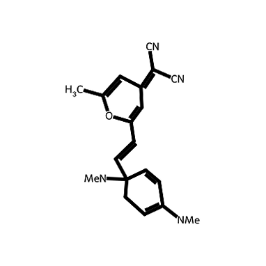 CNC1=CCC(C=CC2=CC(=C(C#N)C#N)C=C(C)O2)(NC)C=C1